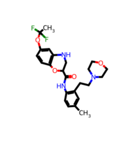 Cc1ccc(NC(=O)C2CNc3cc(OC(C)(F)F)ccc3O2)c(CCN2CCOCC2)c1